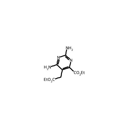 CCOC(=O)Cc1c(N)nc(N)nc1C(=O)OCC